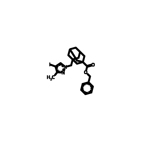 Cc1nn(CC23CC4CC(C2)CC(C(=O)OCc2ccccc2)(C4)C3)cc1I